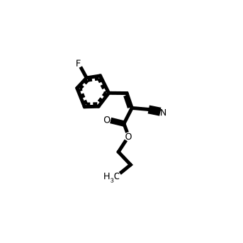 CCCOC(=O)C(C#N)=Cc1cccc(F)c1